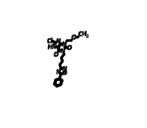 CCOCCn1c(=O)n(CCCCc2noc(-c3ccccc3)n2)c(=O)c2[nH]c(Cl)nc21